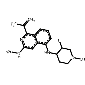 C=C(c1nc(NCCC)cc2c(NC3CCN(C)CC3F)cccc12)C(F)(F)F